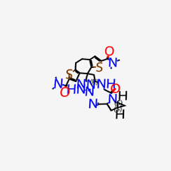 C[C@H](CC1(c2nn[nH]n2)c2cc(C(=O)N(C)C)sc2CCc2cc(C(=O)N(C)C)sc21)NCC(=O)N1C(C#N)C[C@@H]2C[C@@H]21